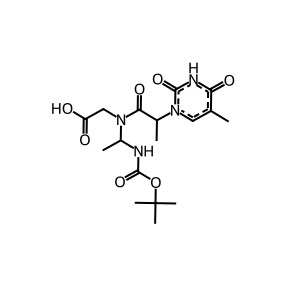 Cc1cn(C(C)C(=O)N(CC(=O)O)C(C)NC(=O)OC(C)(C)C)c(=O)[nH]c1=O